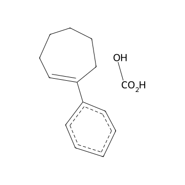 C1=C(c2ccccc2)CCCCC1.O=C(O)O